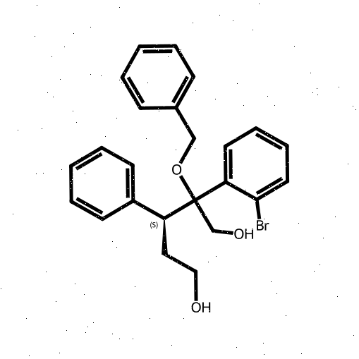 OCC[C@@H](c1ccccc1)C(CO)(OCc1ccccc1)c1ccccc1Br